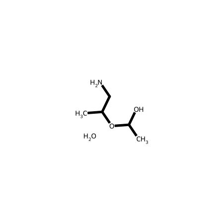 CC(O)OC(C)CN.O